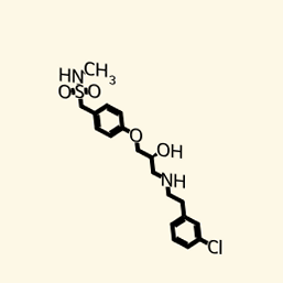 CNS(=O)(=O)Cc1ccc(OC[C@@H](O)CNCCc2cccc(Cl)c2)cc1